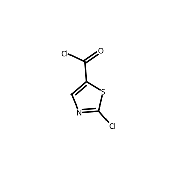 O=C(Cl)c1cnc(Cl)s1